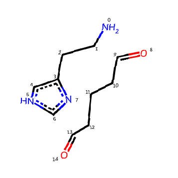 NCCc1c[nH]cn1.O=CCCCC=O